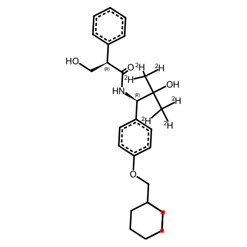 [2H]C([2H])([2H])C(O)([C@H](NC(=O)[C@@H](CO)c1ccccc1)c1ccc(OCC23CCC(CC2)CC3)cc1)C([2H])([2H])[2H]